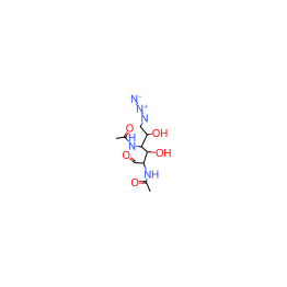 CC(=O)NC(C=O)C(O)C(NC(C)=O)C(O)CN=[N+]=[N-]